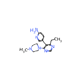 CCc1ncnc(N2CCN(C)CC2)c1-c1ccc(N)nc1